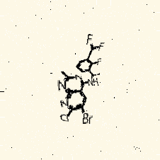 Cc1nc(N[C@H](C)c2cccc(C(F)F)c2F)c2cc(Br)c(Cl)nc2n1